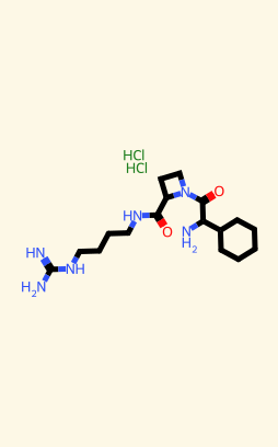 Cl.Cl.N=C(N)NCCCCNC(=O)C1CCN1C(=O)C(N)C1CCCCC1